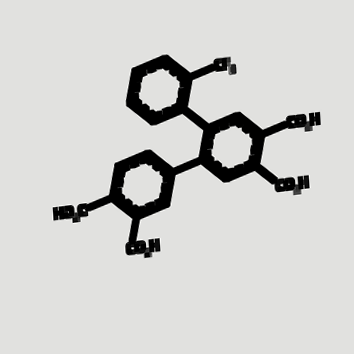 O=C(O)c1ccc(-c2cc(C(=O)O)c(C(=O)O)cc2-c2ccccc2C(F)(F)F)cc1C(=O)O